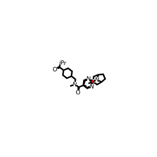 CC(C)C(=O)C1CCC(CN(C)C(=O)c2cnc(N3C4CCC3CN(C)C4)nc2)CC1